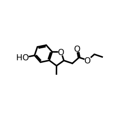 CCOC(=O)CC1Oc2ccc(O)cc2C1C